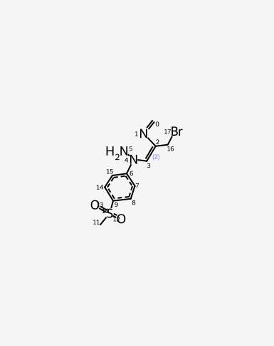 C=N/C(=C\N(N)c1ccc(S(C)(=O)=O)cc1)CBr